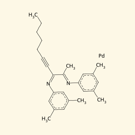 CCCCCC#CC(=Nc1cc(C)cc(C)c1)C(C)=Nc1cc(C)cc(C)c1.[Pd]